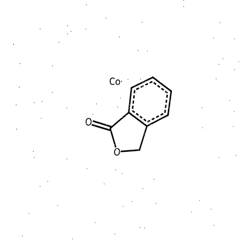 O=C1OCc2ccccc21.[Co]